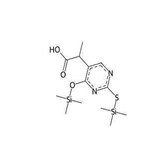 CC(C(=O)O)c1cnc(S[Si](C)(C)C)nc1O[Si](C)(C)C